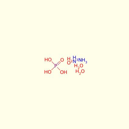 N.N.O.O.O.O=P(O)(O)O